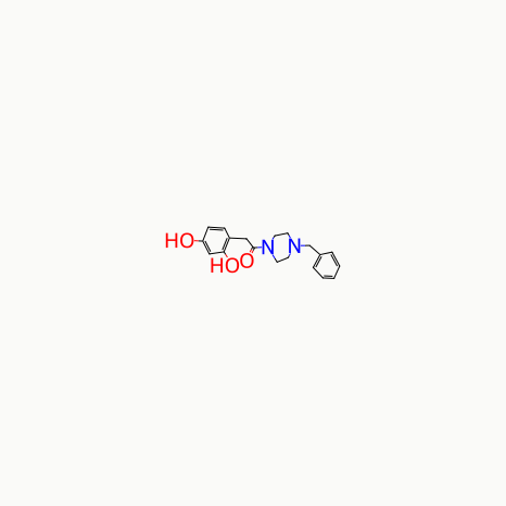 O=C(Cc1ccc(O)cc1O)N1CCN(Cc2ccccc2)CC1